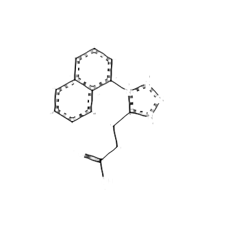 O=C(O)CCc1nnnn1-c1cccc2ccccc12